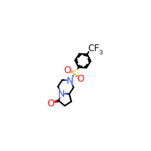 O=C1CCC2CN(S(=O)(=O)c3ccc(C(F)(F)F)cc3)CCN12